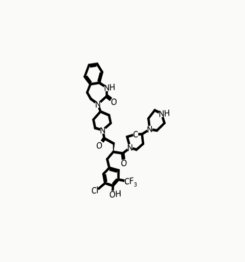 O=C(C[C@H](Cc1cc(Cl)c(O)c(C(F)(F)F)c1)C(=O)N1CCC(N2CCNCC2)CC1)N1CCC(N2CCc3ccccc3NC2=O)CC1